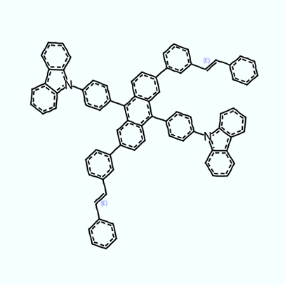 C(=C\c1cccc(-c2ccc3c(-c4ccc(-n5c6ccccc6c6ccccc65)cc4)c4cc(-c5cccc(/C=C/c6ccccc6)c5)ccc4c(-c4ccc(-n5c6ccccc6c6ccccc65)cc4)c3c2)c1)/c1ccccc1